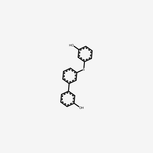 Oc1cccc(Sc2cccc(-c3cccc(O)c3)c2)c1